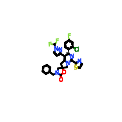 O=C1OC2(CC3=C(c4ccn(C(F)F)n4)[C@H](c4ccc(F)cc4Cl)N=C(c4nccs4)N3C2)CN1Cc1ccccc1